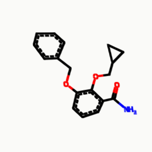 NC(=O)c1cccc(OCc2ccccc2)c1OCC1CC1